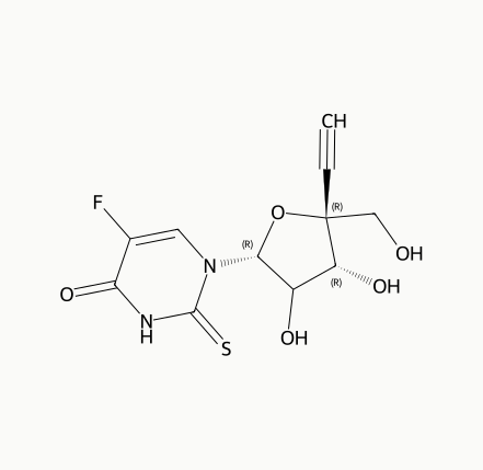 C#C[C@]1(CO)O[C@@H](n2cc(F)c(=O)[nH]c2=S)C(O)[C@H]1O